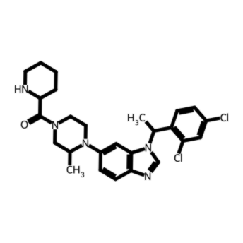 CC1CN(C(=O)C2CCCCN2)CCN1c1ccc2ncn(C(C)c3ccc(Cl)cc3Cl)c2c1